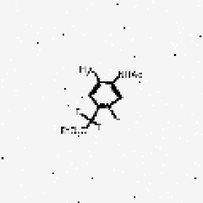 CCOC(=O)C(F)(F)c1cc(C)c(NC(C)=O)cc1F